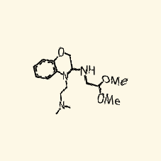 COC(CNC1COc2ccccc2N1CCN(C)C)OC